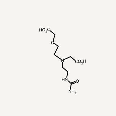 NC(=O)NCCN(CCOCC(=O)O)CC(=O)O